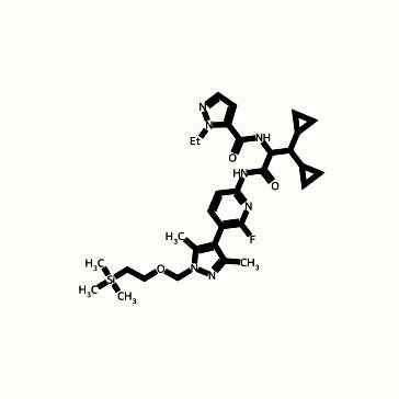 CCn1nccc1C(=O)NC(C(=O)Nc1ccc(-c2c(C)nn(COCC[Si](C)(C)C)c2C)c(F)n1)C(C1CC1)C1CC1